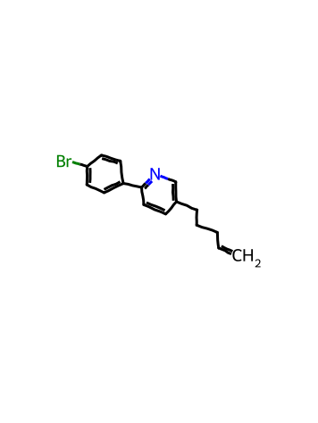 C=CCCCc1ccc(-c2ccc(Br)cc2)nc1